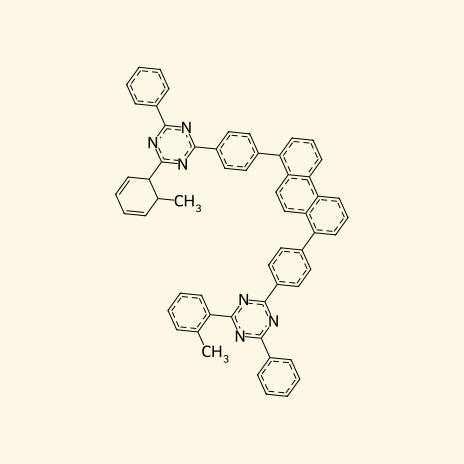 Cc1ccccc1-c1nc(-c2ccccc2)nc(-c2ccc(-c3cccc4c3ccc3c(-c5ccc(-c6nc(-c7ccccc7)nc(C7C=CC=CC7C)n6)cc5)cccc34)cc2)n1